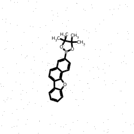 CC1(C)OB(c2ccc3c(ccc4c5ccccc5oc34)c2)OC1(C)C